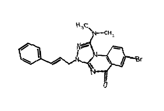 CN(C)c1nn(CC=Cc2ccccc2)c2nc(=O)c3cc(Br)ccc3n12